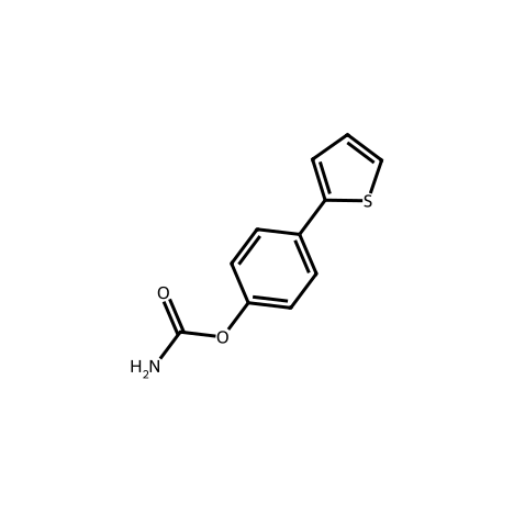 NC(=O)Oc1ccc(-c2cccs2)cc1